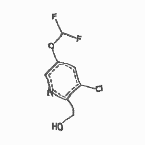 OCc1ncc(OC(F)F)cc1Cl